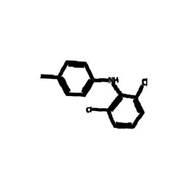 Cc1ccc(Nc2c(Cl)cccc2Cl)cc1